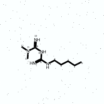 CCCCCNC(=N)NC(=N)N(C)C